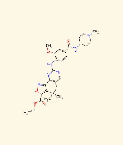 CCOC(=O)c1onc2c1C(C)(C)Cc1cnc(Nc3ccc(C(=O)NC4CCN(C)CC4)cc3OC)nc1-2